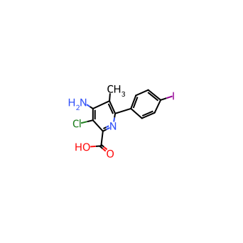 Cc1c(-c2ccc(I)cc2)nc(C(=O)O)c(Cl)c1N